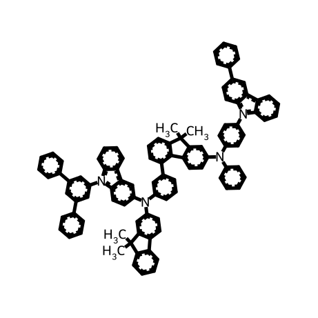 CC1(C)c2ccccc2-c2ccc(N(c3cccc(-c4cccc5c4-c4ccc(N(c6ccccc6)c6ccc(-n7c8ccccc8c8cc(-c9ccccc9)ccc87)cc6)cc4C5(C)C)c3)c3ccc4c(c3)c3ccccc3n4-c3cc(-c4ccccc4)cc(-c4ccccc4)c3)cc21